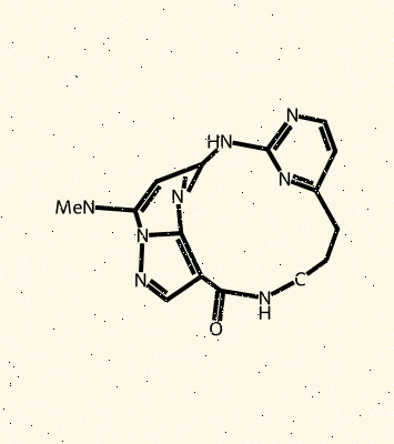 CNc1cc2nc3c(cnn13)C(=O)NCCCc1ccnc(n1)N2